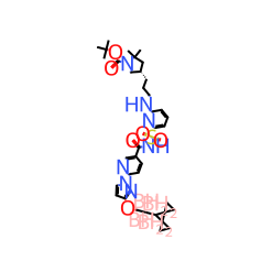 BC(B)(Oc1ccn(-c2ccc(C(=O)NS(=O)(=O)c3cccc(NCCC[C@@H]4CN(C(=O)OC(C)(C)C)C(C)(C)C4)n3)cn2)n1)C(B)(B)C1C2(CC2)C12CC2